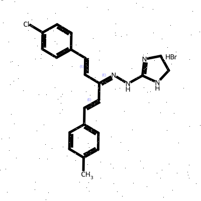 Br.Cc1ccc(/C=C/C(/C=C/c2ccc(Cl)cc2)=N\NC2=NCCN2)cc1